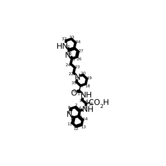 O=C(NC[C@H](Nc1ccnc2ccccc12)C(=O)O)[C@@H]1CCCN(CCCc2ccc3c(n2)NCCC3)C1